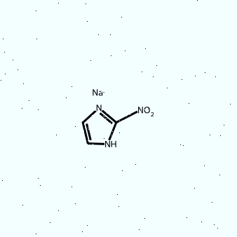 O=[N+]([O-])c1ncc[nH]1.[Na]